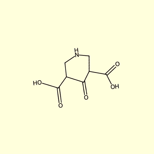 O=C(O)C1CNCC(C(=O)O)C1=O